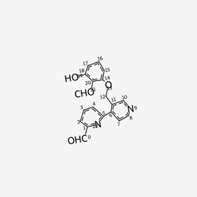 O=Cc1cccc(-c2ccncc2COc2cccc(O)c2C=O)n1